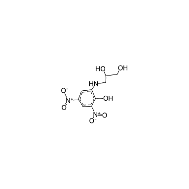 O=[N+]([O-])c1cc(NCC(O)CO)c(O)c([N+](=O)[O-])c1